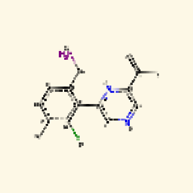 C=C(C)c1cncc(-c2c(CP)ccc(C)c2F)n1